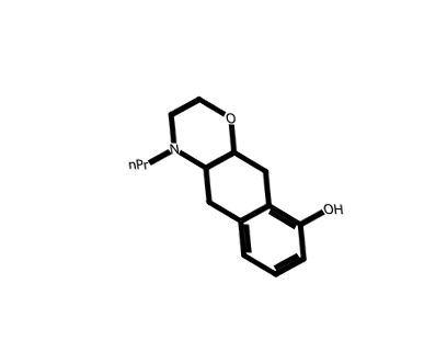 CCCN1CCOC2Cc3c(O)cccc3CC21